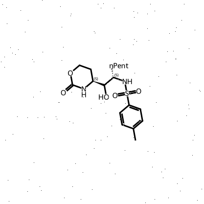 CCCCC[C@H](NS(=O)(=O)c1ccc(C)cc1)C(O)[C@@H]1CCOC(=O)N1